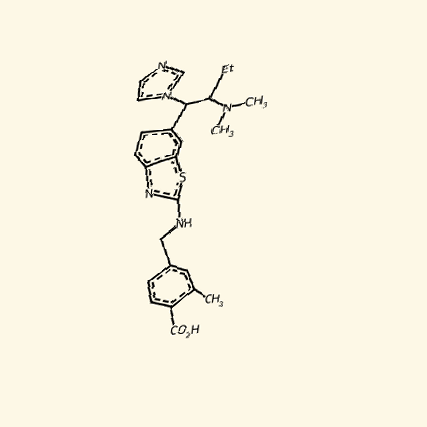 CCC(C(c1ccc2nc(NCc3ccc(C(=O)O)c(C)c3)sc2c1)n1ccnc1)N(C)C